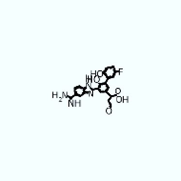 N=C(N)c1ccc2[nH]c(-c3cc(C(CC=O)C(=O)O)cc(-c4cc(F)ccc4O)c3O)nc2c1